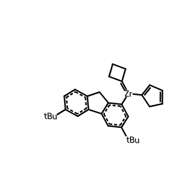 CC(C)(C)c1ccc2c(c1)-c1cc(C(C)(C)C)c[c]([Zr]([C]3=CC=CC3)=[C]3CCC3)c1C2